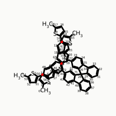 Cc1ccc(-c2ccc(N(c3ccc(-c4ccc(C)s4)cc3)c3ccc4c(c3)C3(c5ccccc5-4)c4ccccc4-c4ccc(N(c5ccc(-c6ccc(C)s6)cc5)c5ccc(-c6ccc(C)s6)cc5)cc43)cc2)s1